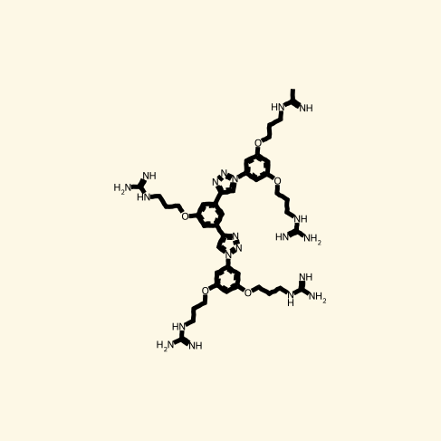 CC(=N)NCCCOc1cc(OCCCNC(=N)N)cc(-n2cc(-c3cc(OCCCNC(=N)N)cc(-c4cn(-c5cc(OCCCNC(=N)N)cc(OCCCNC(=N)N)c5)nn4)c3)nn2)c1